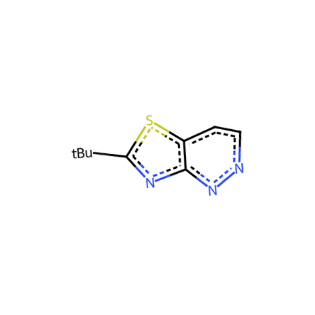 CC(C)(C)c1nc2nnccc2s1